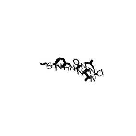 CCSc1ccc(CNc2nc3c(C)nc(Cl)nc3n(CC(C)C)c2=O)cn1